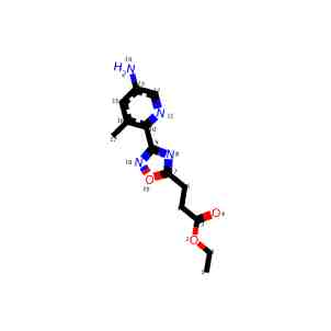 CCOC(=O)CCc1nc(-c2ncc(N)cc2C)no1